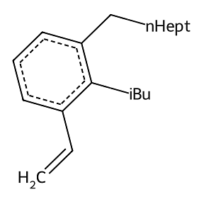 C=Cc1cccc(CCCCCCCC)c1C(C)CC